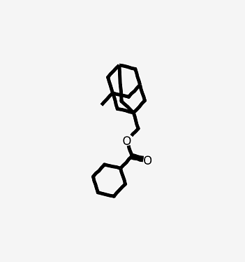 CC12CC3CC(C1)CC(COC(=O)C1CCCCC1)(C3)C2